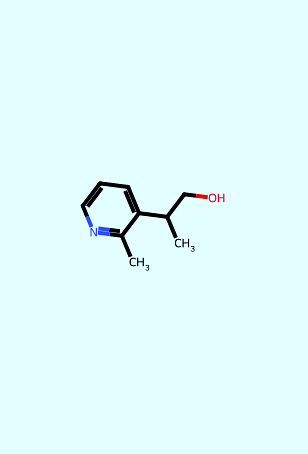 Cc1ncccc1C(C)CO